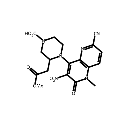 COC(=O)CC1CN(C(=O)O)CCN1c1c([N+](=O)[O-])c(=O)n(C)c2ccc(C#N)nc12